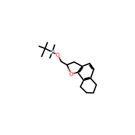 CC(C)(C)[Si](C)(C)OCC1Cc2ccc3c(c2O1)CCCC3